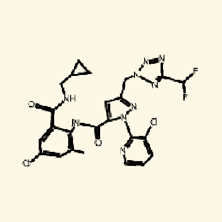 Cc1cc(Cl)cc(C(=O)NCC2CC2)c1NC(=O)c1cc(Cn2nnc(C(F)F)n2)nn1-c1ncccc1Cl